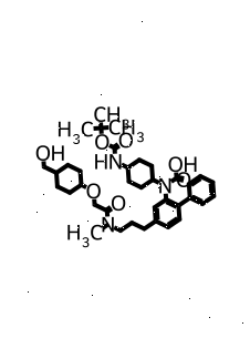 CN(CCCc1ccc(-c2ccccc2)c(N(C(=O)O)C2CCC(NC(=O)OC(C)(C)C)CC2)c1)C(=O)COC1CCC(CO)CC1